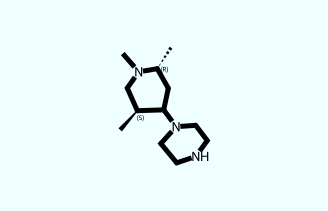 C[C@@H]1CC(N2CCNCC2)[C@@H](C)CN1C